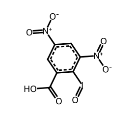 O=Ic1c(C(=O)O)cc([N+](=O)[O-])cc1[N+](=O)[O-]